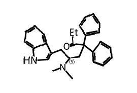 CCC(=O)C(C[C@H](Cc1c[nH]c2ccccc12)N(C)C)(c1ccccc1)c1ccccc1